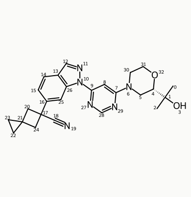 CC(C)(O)[C@@H]1CN(c2cc(-n3ncc4ccc(C5(C#N)CC6(CC6)C5)cc43)ncn2)CCO1